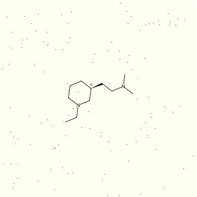 [CH2]CN1CCC[C@@H](CCN(C)C)C1